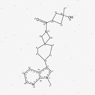 Cn1cc(C2CCC3(CC2)CN(C(=O)C2CC(C)(O)C2)C3)c2cccnc21